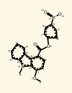 COc1ccc(C(=O)Oc2ccc([N+](=O)[O-])cc2)c2c3ccccc3n(C)c12